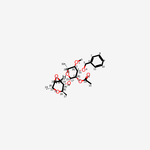 CO[C@H]1[C@H](OCc2ccccc2)[C@@H](OC(C)=O)[C@H](O[C@H]2[C@H]3O[C@H]3[C@@H](C)O[C@@H]2C)O[C@@H]1C